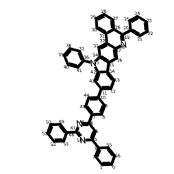 c1ccc(-c2cc(-c3ccc(-c4ccc5c6cc7nc(-c8ccccc8)c8ccccc8c7cc6n(-c6ccccc6)c5c4)cc3)nc(-c3ccccc3)n2)cc1